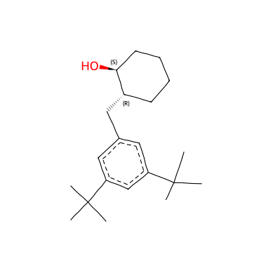 CC(C)(C)c1cc(C[C@H]2CCCC[C@@H]2O)cc(C(C)(C)C)c1